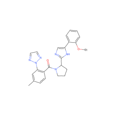 CCOc1ccccc1-c1cnc(C2CCCN2C(=O)c2ccc(C)cc2-n2nccn2)[nH]1